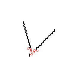 CCCCCCCCCCCCCCCCCC(=O)OOB(OOC(=O)CCCCCCCCCCCCCCCCC)OC(C)C